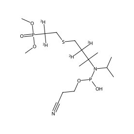 [2H]C([2H])(CSCC([2H])([2H])P(=O)(OC)OC)C(C)(C)N(C(C)C)P(O)OCCC#N